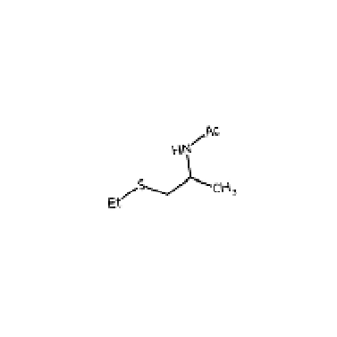 CCSCC(C)NC(C)=O